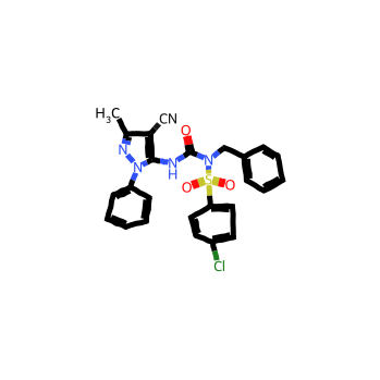 Cc1nn(-c2ccccc2)c(NC(=O)N(Cc2ccccc2)S(=O)(=O)c2ccc(Cl)cc2)c1C#N